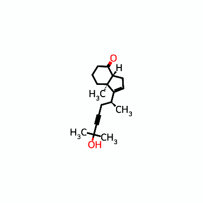 C[C@@H](CC#CC(C)(C)O)C1=CC[C@H]2C(=O)CCC[C@]12C